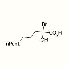 CCCCCCCCC(O)(Br)C(=O)O